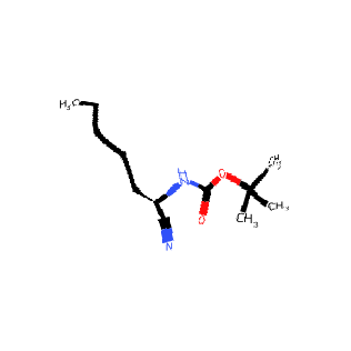 CCCCC[C@H](C#N)NC(=O)OC(C)(C)C